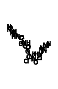 C[C@@H](NC(=O)c1cccc(NCc2nnc(-c3ccncn3)n2C)c1)c1nc(COc2cccc3c2CC[C@H]3NC(=O)c2cccc(NCc3nnc(-c4ccncn4)n3C)c2)ccc1Cl